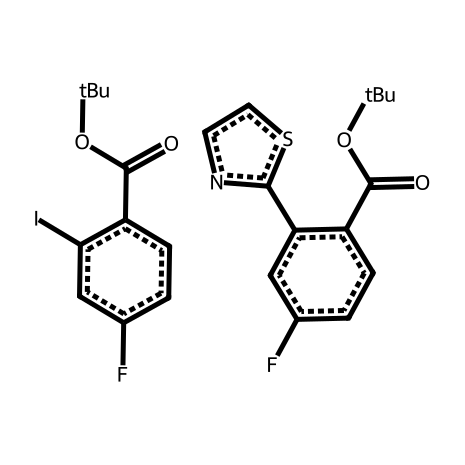 CC(C)(C)OC(=O)c1ccc(F)cc1-c1nccs1.CC(C)(C)OC(=O)c1ccc(F)cc1I